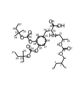 CCC(C)COC(=O)OC(C)CN[C@@H](Cc1ccc(OC(=O)OC(C)(C)CC)c(OC(=O)OC(C)(C)CC)c1)C(=O)O